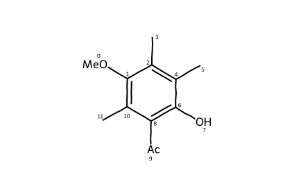 COc1c(C)c(C)c(O)c(C(C)=O)c1C